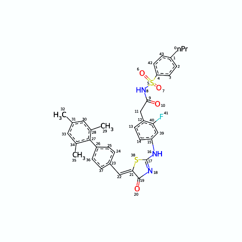 CCCc1ccc(S(=O)(=O)NC(=O)Cc2ccc(NC3=NC(=O)C(=Cc4ccc(-c5c(C)cc(C)cc5C)cc4)S3)cc2F)cc1